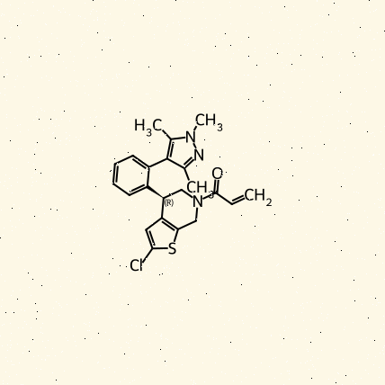 C=CC(=O)N1Cc2sc(Cl)cc2[C@@H](c2ccccc2-c2c(C)nn(C)c2C)C1